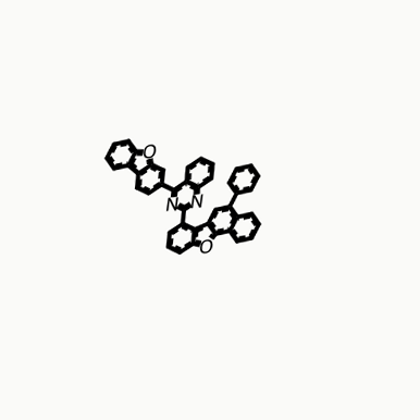 c1ccc(-c2cc3c(oc4cccc(-c5nc(-c6ccc7c(c6)oc6ccccc67)c6ccccc6n5)c43)c3ccccc23)cc1